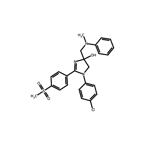 CN(CC1(O)CN(c2ccc(Cl)cc2)C(c2ccc(S(C)(=O)=O)cc2)=N1)c1ccccc1